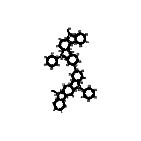 Cn1c2ccccc2c2cc3c(cc21)c1cc(-c2ccc4c5c6c7ccccc7n(C)c6ccc5n(-c5ccccc5)c4c2)ccc1n3-c1ccccc1